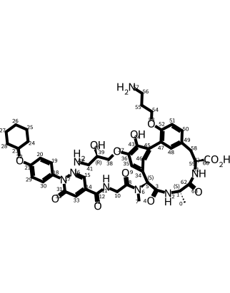 C[C@@H]1NC(=O)[C@@H](N(C)C(=O)CNC(=O)c2cnn(-c3ccc(OC4CCCCC4)cc3)c(=O)c2)c2cc(OC[C@H](O)CN)c(O)c(c2)-c2cc(ccc2OCCCN)C[C@@H](C(=O)O)NC1=O